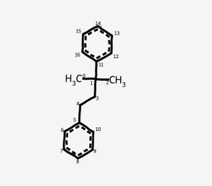 CC(C)(CCc1ccccc1)c1cc[c]cc1